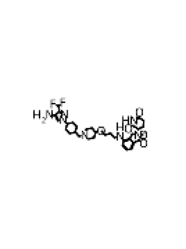 Nc1cn(C2CCC(CN3CCC(OCCCNc4cccc5c4C[N+]([O-])(C4CCC(=O)NC4=O)C5=O)CC3)CC2)nc1C(F)F